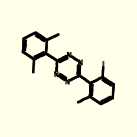 Cc1cccc(C)c1-c1nnc(-c2c(C)cccc2I)nn1